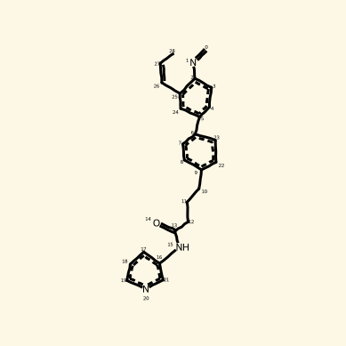 C=Nc1ccc(-c2ccc(CCCC(=O)Nc3cccnc3)cc2)cc1/C=C\C